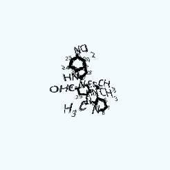 CCC(C)(C)Nc1cccnc1N(C)C1CCN(c2cc3cc([N+](=O)[O-])ccc3[nH]2)C(C=O)C1